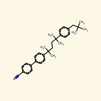 CC(C)(C)Cc1ccc(C(C)(C)CCC(C)(C)c2ccc(-c3ccc(C#N)cc3)cc2)cc1